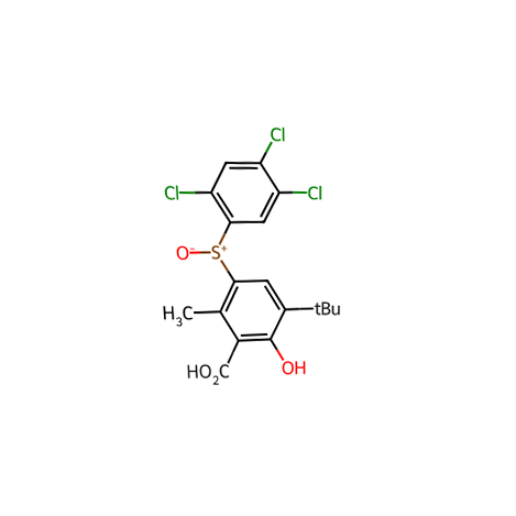 Cc1c([S+]([O-])c2cc(Cl)c(Cl)cc2Cl)cc(C(C)(C)C)c(O)c1C(=O)O